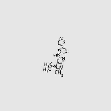 Cc1nc2cnc(Nc3ccnc(-c4ccncc4)n3)cc2n1C(C)C